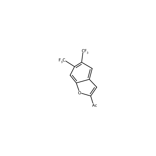 CC(=O)c1cc2cc(C(F)(F)F)c(C(F)(F)F)cc2o1